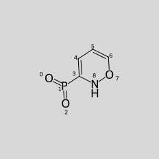 O=P(=O)C1=CC=CON1